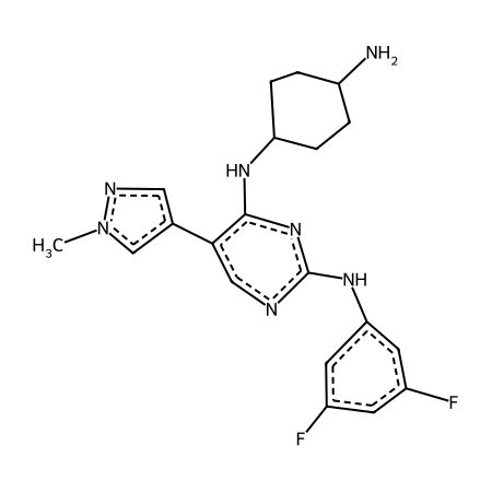 Cn1cc(-c2cnc(Nc3cc(F)cc(F)c3)nc2NC2CCC(N)CC2)cn1